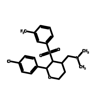 CN(C)CC1CCOC(c2ccc(Cl)cc2)C1S(=O)(=O)c1cccc(C(F)(F)F)c1